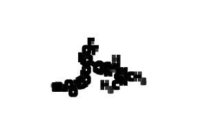 Cc1cc(Nc2cc3cc(-c4cc(OC(F)F)ncc4OC[C@@H]4CN(C(=O)OC(C)(C)C)CCO4)ccn3n2)nc(C)n1